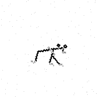 CCCCCCCC/C=C\CCCCCCCC(=O)OCC(CCCCN(CCN(CCO)C1CCCC1)C1CCC1)COC(=O)CC(CCCCCC)CCCCCCCC